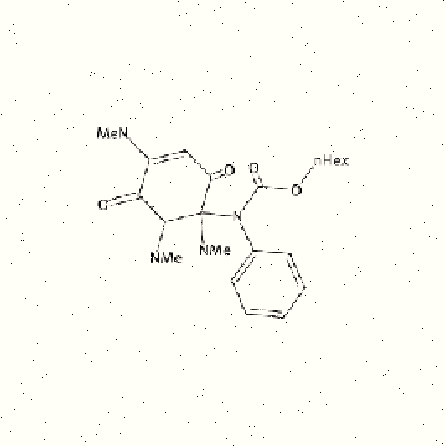 CCCCCCOC(=O)N(c1ccccc1)C1(NC)C(=O)C=C(NC)C(=O)C1NC